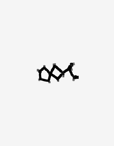 CC(C)(C)C(=O)N1CC2(CCOC2)C1